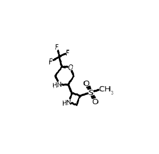 CS(=O)(=O)C1CNC1C1COC(C(F)(F)F)CN1